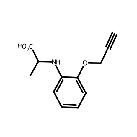 C#CCOc1ccccc1NC(C)C(=O)O